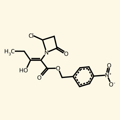 CCC(O)=C(C(=O)OCc1ccc([N+](=O)[O-])cc1)N1C(=O)CC1Cl